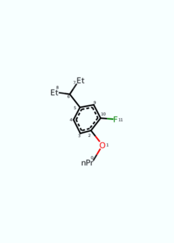 CCCOc1ccc(C(CC)CC)cc1F